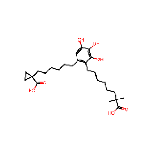 CC(C)(CCCCCCc1c(CCCCCCC2(C(=O)O)CC2)cc(O)c(O)c1O)C(=O)O